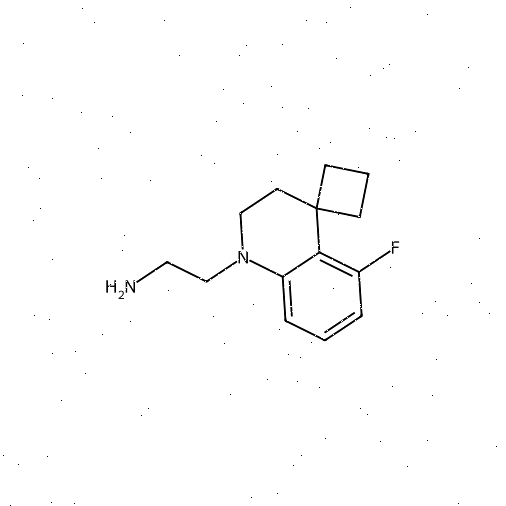 NCCN1CCC2(CCC2)c2c(F)cccc21